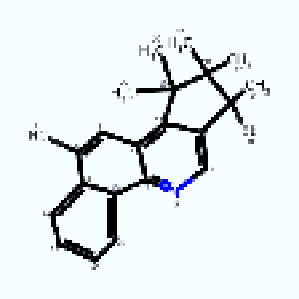 CCC1(C)c2cnc3c(cc(C#N)c4ccccc43)c2C(C)(C)C1(C)C